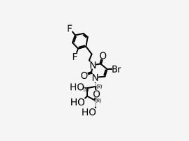 O=c1c(Br)cn([C@@H]2O[C@H](CO)C(O)[C@@H]2O)c(=O)n1CCc1ccc(F)cc1F